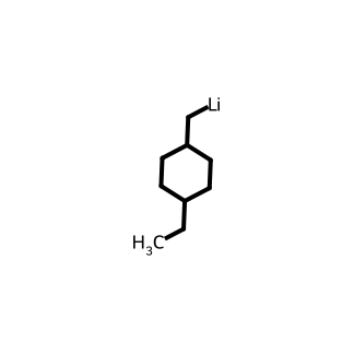 [Li][CH2]C1CCC(CC)CC1